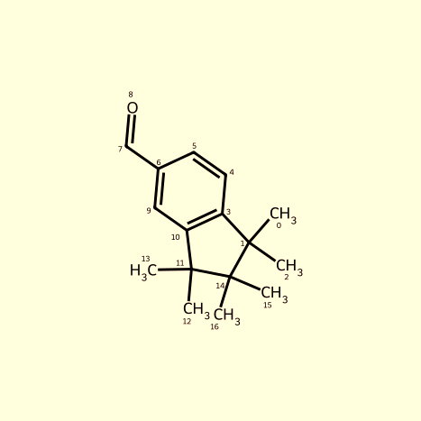 CC1(C)c2ccc(C=O)cc2C(C)(C)C1(C)C